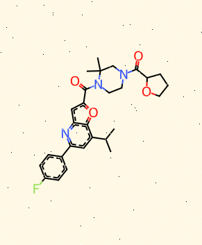 CC(C)c1cc(-c2ccc(F)cc2)nc2cc(C(=O)N3CCN(C(=O)C4CCCO4)CC3(C)C)oc12